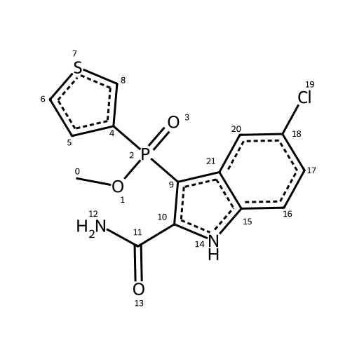 COP(=O)(c1ccsc1)c1c(C(N)=O)[nH]c2ccc(Cl)cc12